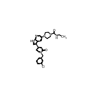 CCNC(=O)N1CCN(c2cnc3[nH]cc(-c4ccn(Cc5cccc(Cl)c5)c(=O)c4)c3c2)CC1